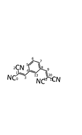 N#CC(C#N)=Cc1cccc(C=C(C#N)C#N)c1